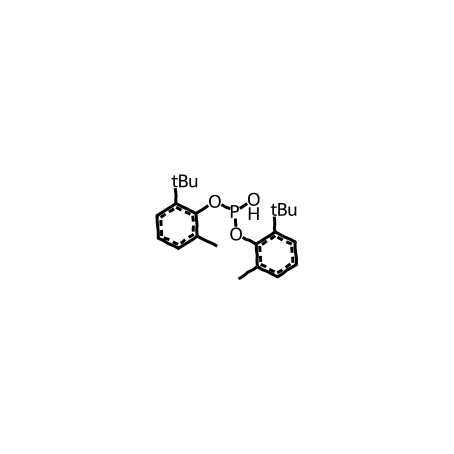 Cc1cccc(C(C)(C)C)c1OP(O)Oc1c(C)cccc1C(C)(C)C